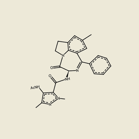 CC(=O)Nc1c(C)nn(C)c1C(=O)N[C@@H]1N=C(c2ccccc2)c2cc(C)cc3c2N(CC3)C1=O